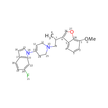 COc1cccc2c(C(C)CN3CC=C(n4ccc5ccc(F)cc54)CC3)coc12